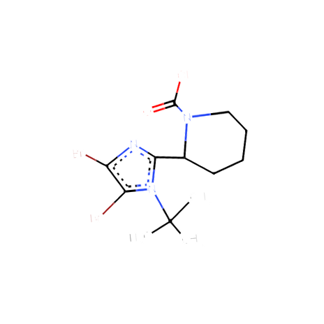 CC(C)(C)n1c(C2CCCCN2C(=O)O)nc(Br)c1Br